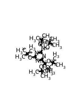 COC(OC(C)(C)C)(OC(C)(C)C)c1nc(OC(C)(C)C)nc(N(OC(C)(C)C)OC(C)(C)C)n1